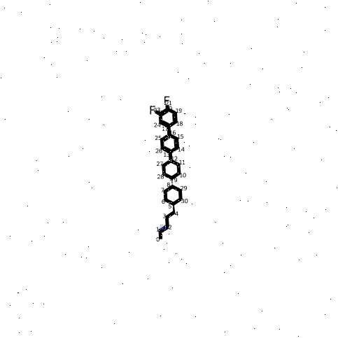 C/C=C/CC[C@H]1CC[C@H](C2CCC(c3ccc(-c4ccc(F)c(F)c4)cc3)CC2)CC1